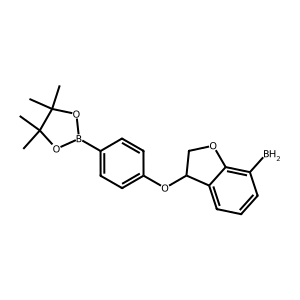 Bc1cccc2c1OCC2Oc1ccc(B2OC(C)(C)C(C)(C)O2)cc1